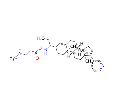 CCC(NOC(=O)CCNC)C1C=C2CC[C@H]3[C@H](CC[C@]4(C)C(c5cccnc5)=CC[C@@H]34)[C@@]2(C)CC1